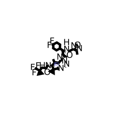 C=Nn1cc([C@@H](NC(=O)c2nonc2C)C2CCC(F)(F)CC2)nc1/C=C(\C)[C@H](NC(=O)CC1(C(F)(F)F)CC1)C1(C#N)CC1